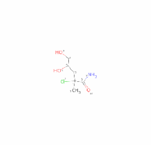 CC(Cl)(CC(O)CO)C(N)=O